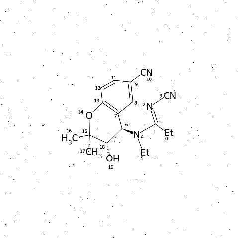 CCC(=NC#N)N(CC)[C@@H]1c2cc(C#N)ccc2OC(C)(C)[C@H]1O